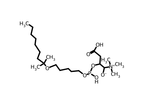 CCCCCCCC(C)(C)OCCCCCOP(O)OC(CC(=O)O)C([O-])[N+](C)(C)C